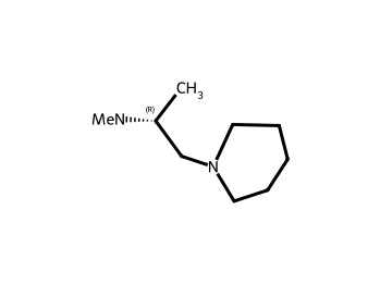 CN[C@H](C)CN1CCCCC1